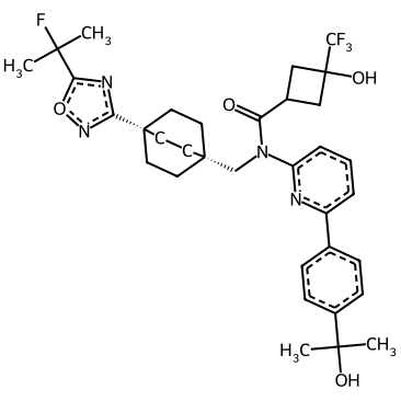 CC(C)(O)c1ccc(-c2cccc(N(C[C@]34CC[C@](c5noc(C(C)(C)F)n5)(CC3)CC4)C(=O)C3CC(O)(C(F)(F)F)C3)n2)cc1